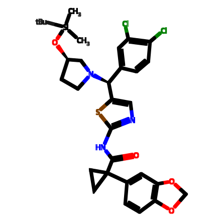 CC(C)(C)[Si](C)(C)O[C@@H]1CCN([C@@H](c2ccc(Cl)c(Cl)c2)c2cnc(NC(=O)C3(c4ccc5c(c4)OCO5)CC3)s2)C1